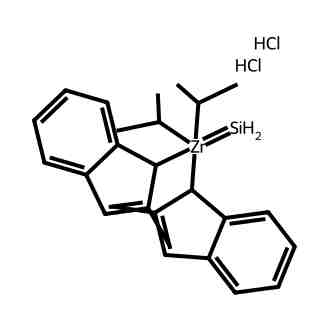 CC1=Cc2ccccc2[CH]1[Zr](=[SiH2])([CH](C)C)([CH](C)C)[CH]1C(C)=Cc2ccccc21.Cl.Cl